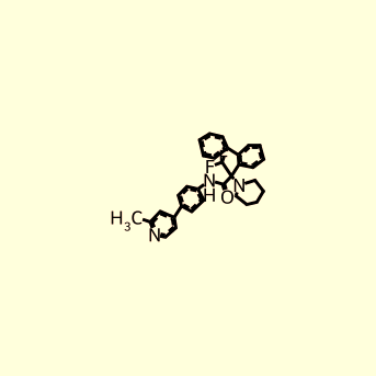 Cc1cc(-c2ccc(NC(=O)C(c3ccccc3-c3ccccc3)(C(F)F)N3CCCCC3)cc2)ccn1